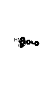 O=C(c1cccc2[nH]cc(-c3ccco3)c12)N1CCN(C=Cc2ccccc2)CC1